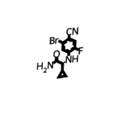 N#Cc1cc(F)c(N[C@@H](C(N)=O)C2CC2)cc1Br